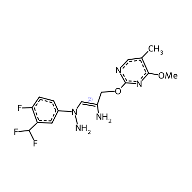 COc1nc(OC/C(N)=C/N(N)c2ccc(F)c(C(F)F)c2)ncc1C